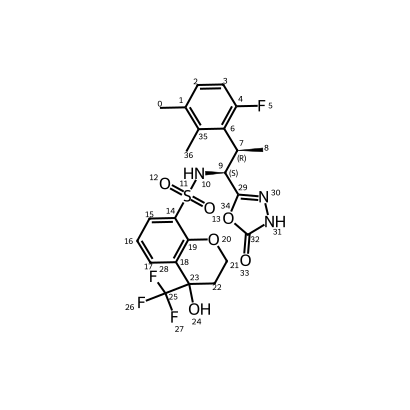 Cc1ccc(F)c([C@@H](C)[C@H](NS(=O)(=O)c2cccc3c2OCCC3(O)C(F)(F)F)c2n[nH]c(=O)o2)c1C